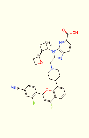 N#Cc1ccc(C2C=C(F)c3cccc(C4CCN(Cc5nc6ccc(C(=O)O)nc6n5C5[SiH2]CC5[C@@H]5CCO5)CC4)c3O2)c(F)c1